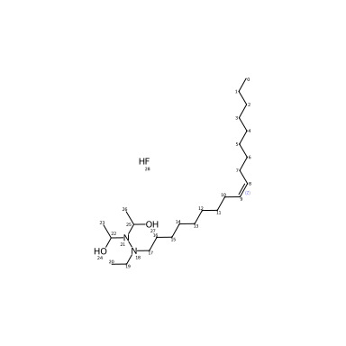 CCCCCCCC/C=C\CCCCCCCCN(CC)N(C(C)O)C(C)O.F